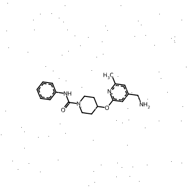 Cc1cc(CN)cc(OC2CCN(C(=O)Nc3ccccc3)CC2)n1